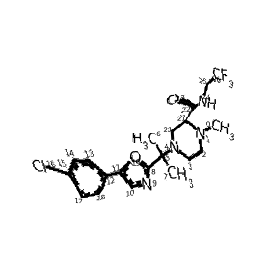 CN1CCN(C(C)(C)c2ncc(-c3ccc(Cl)cc3)o2)C[C@H]1C(=O)NCC(F)(F)F